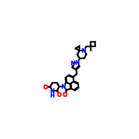 CC1(CN2CC[C@@H](n3cc(Cc4ccc5c6c(cccc46)C(=O)N5C4CCC(=O)NC4=O)cn3)CC23CC3)CCC1